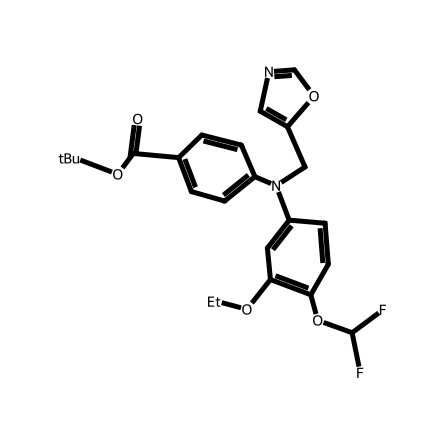 CCOc1cc(N(Cc2cnco2)c2ccc(C(=O)OC(C)(C)C)cc2)ccc1OC(F)F